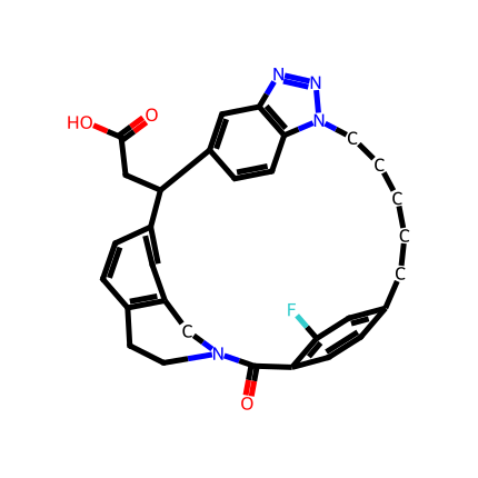 O=C(O)CC1c2ccc3c(c2)CN(CC3)C(=O)c2ccc(cc2F)CCCCCn2nnc3cc1ccc32